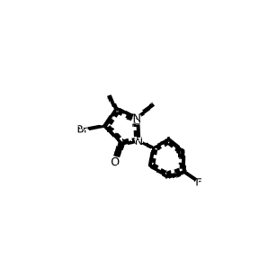 Cc1c(Br)c(=O)n(-c2ccc(F)cc2)n1C